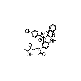 CC(=O)N(CCC(=O)C(C)O)c1ccc(Nc2nc3ccccc3nc2NS(=O)(=O)c2ccc(Cl)cc2)cc1